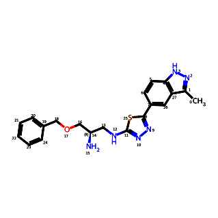 Cc1n[nH]c2ccc(-c3nnc(NC[C@@H](N)COCc4ccccc4)s3)cc12